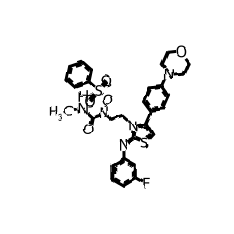 CNC(=O)N(CCn1c(-c2ccc(N3CCOCC3)cc2)csc1=Nc1cccc(F)c1)OS(=O)(=O)c1ccccc1